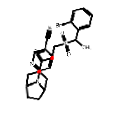 CC(c1ccccc1Br)S(=O)(=O)CCC(=O)N1CC2CCC(C1)N2c1ccc(C#N)cn1